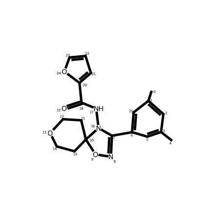 Cc1cc(C)cc(C2=NOC3(CCOCC3)N2NC(=O)c2ccco2)c1